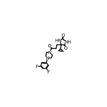 O=C1NC(=O)C(CCC(=O)N2CCN(c3cc(F)cc(F)c3)CC2)(C2CC2)N1